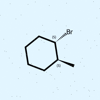 C[C@H]1CCCC[C@@H]1Br